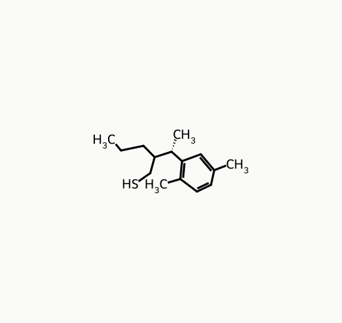 CCCC(CS)[C@H](C)c1cc(C)ccc1C